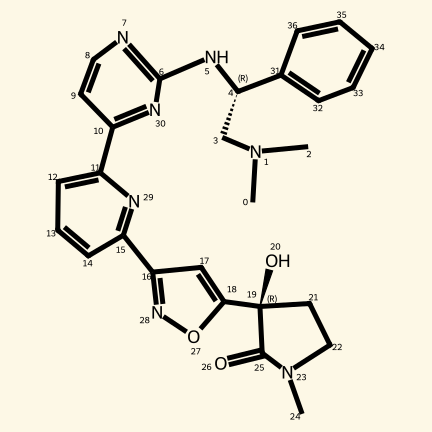 CN(C)C[C@H](Nc1nccc(-c2cccc(-c3cc([C@]4(O)CCN(C)C4=O)on3)n2)n1)c1ccccc1